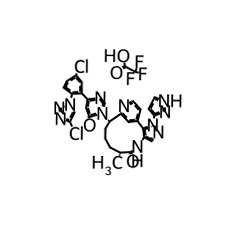 C[C@@H]1CCC[C@H](n2cnc(-c3cc(Cl)ccc3-n3cc(Cl)nn3)cc2=O)c2cc(ccn2)-c2c(cnn2-c2cc[nH]n2)NC1=O.O=C(O)C(F)(F)F